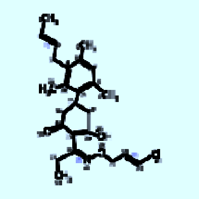 C/C=C/Cc1c(C)cc(C)c(C2CC(=O)C(/C(CC)=N\OC/C=C/Cl)=C(O)C2)c1C